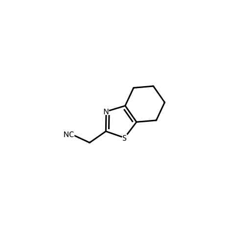 N#CCc1nc2c(s1)CCCC2